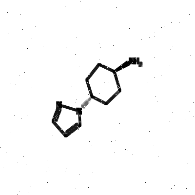 N[C@H]1CC[C@H](n2cccn2)CC1